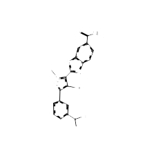 CC(O)c1cccc(-c2nn(C)c(-c3nc4ccc(C(N)=O)cc4[nH]3)c2O)c1